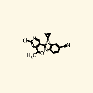 CC(=O)c1nc(Cl)ncc1-c1nc2ccc(C#N)cc2n1C1CC1